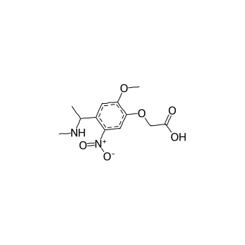 CNC(C)c1cc(OC)c(OCC(=O)O)cc1[N+](=O)[O-]